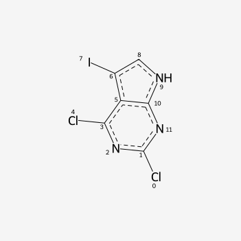 Clc1nc(Cl)c2c(I)c[nH]c2n1